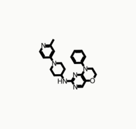 Cc1cc(N2CCC(Nc3ncc4c(n3)N(c3ccccc3)CCO4)CC2)ccn1